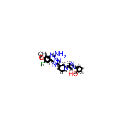 COc1cc2nc(N)n3nc([C@@H]4CCCN(c5cnn([C@H]6CCC[C@@H]6O)c5)C4)nc3c2cc1F